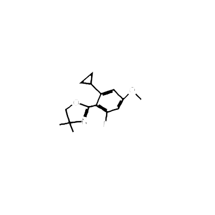 COc1cc(F)c(C2=NC(C)(C)CO2)c(C2CC2)c1